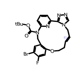 CC(C)(C)OC(=O)N1Cc2cc(Br)c(F)cc2OCC/C=C/Cn2cnnc2-c2cccc1n2